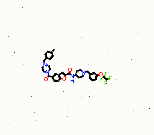 Cc1ccc(CN2CCN(C(=O)c3ccc4oc(C(=O)NC5CCN(Cc6cccc(OC(F)(F)C(F)F)c6)CC5)cc4c3)CC2)cc1